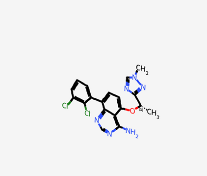 C[C@H](Oc1ccc(-c2cccc(Cl)c2Cl)c2ncnc(N)c12)c1ncn(C)n1